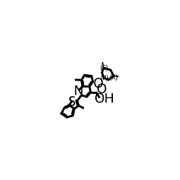 Cc1c(-c2cc(C(=O)O)c3c(O[C@H]4C[C@H](C)C[C@H](C)C4)ccc(C)c3n2)sc2ccccc12